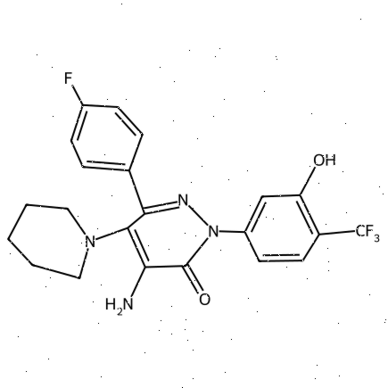 Nc1c(N2CCCCC2)c(-c2ccc(F)cc2)nn(-c2ccc(C(F)(F)F)c(O)c2)c1=O